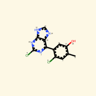 Cc1cc(Cl)c(-c2nc(Cl)nc3[nH]cnc23)cc1O